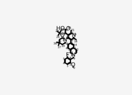 COc1cccc(F)c1CN1CCc2cc(-c3c(C)nc(C)c(C(OC(C)(C)C)C(=O)O)c3N3CCC(C)(C)CC3)ccc2C1